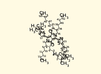 CCCCCCCCC(CCCCCC)CN1C(=O)C2=C(c3ncc(-c4ccc(C(C)(C)N)s4)s3)N(CC(CCCCCC)CCCCCCCC)C(=O)C2=C1c1ccc(C(C)(C)C)s1